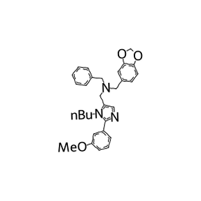 CCCCn1c(CN(Cc2ccccc2)Cc2ccc3c(c2)OCO3)cnc1-c1cccc(OC)c1